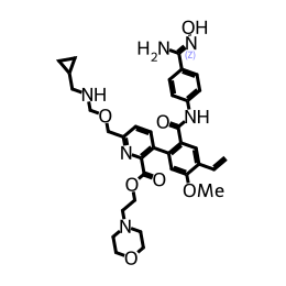 C=Cc1cc(C(=O)Nc2ccc(/C(N)=N/O)cc2)c(-c2ccc(COCNCC3CC3)nc2C(=O)OCCN2CCOCC2)cc1OC